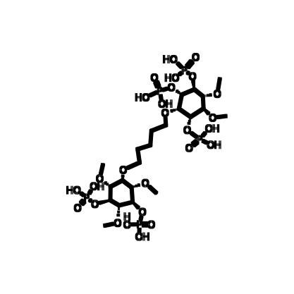 CO[C@@H]1[C@@H](OP(=O)(O)O)[C@H](OC)[C@H](OCCCCCO[C@H]2[C@@H](OP(=O)(O)O)[C@H](OC)[C@@H](OC)[C@H](OP(=O)(O)O)[C@H]2OP(=O)(O)O)[C@H](OC)[C@H]1OP(=O)(O)O